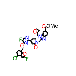 COC(=O)c1ccc2nc(CN3CCC(c4ncc(F)c(OCc5ccc(Cl)c6cc(F)oc56)n4)=CC3=O)n(CC3CCO3)c2c1